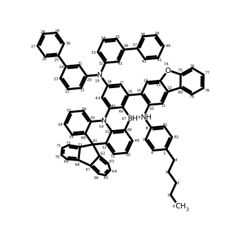 CCCCCc1ccc(Nc2cc3c(cc2-c2cc(N(c4cccc(-c5ccccc5)c4)c4cccc(-c5ccccc5)c4)cc4c2Bc2cccc5c2N4c2ccccc2C52c4ccccc4-c4ccccc42)oc2ccccc23)cc1